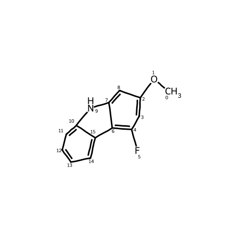 COc1cc(F)c2c(c1)[nH]c1ccccc12